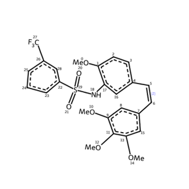 COc1ccc(/C=C\c2cc(OC)c(OC)c(OC)c2)cc1NS(=O)(=O)c1cccc(C(F)(F)F)c1